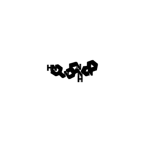 c1ccc2ncc(Nc3nccc4c3CCN(CC3CCNCC3)C4)cc2c1